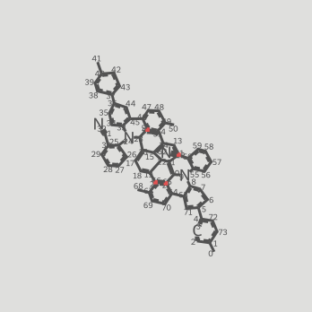 Cc1ccc(-c2ccc(N(C3=C4C=CC5=C6C(=CC=C(C=C3)C46)C(N(c3ccccc3C#N)c3ccc(-c4ccc(C)cc4)cc3-c3ccc(C)cc3)C=C5)c3ccccc3C#N)c(-c3ccc(C)cc3)c2)cc1